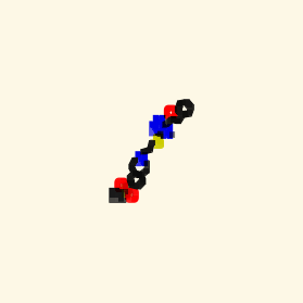 CCS(=O)(=O)c1ccc2c(c1)CCN(CCCSc1nnc(-c3cc4ccccc4o3)n1C)CC2